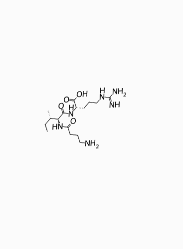 CC[C@H](C)[C@H](NC(=O)CCCN)C(=O)N[C@@H](CCCNC(=N)N)C(=O)O